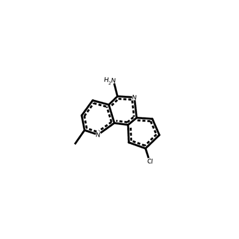 Cc1ccc2c(N)nc3ccc(Cl)cc3c2n1